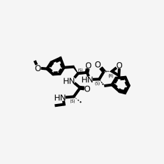 CCN[C@@H](C)C(=O)N[C@@H](Cc1ccc(OC)cc1)C(=O)N[C@@H](Cc1ccccc1)C(=O)[C@H]1CO1